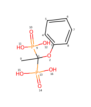 CC(Oc1ccccc1)(P(=O)(O)O)P(=O)(O)O